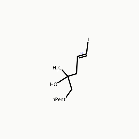 CCCCCCC(C)(O)C/C=C/I